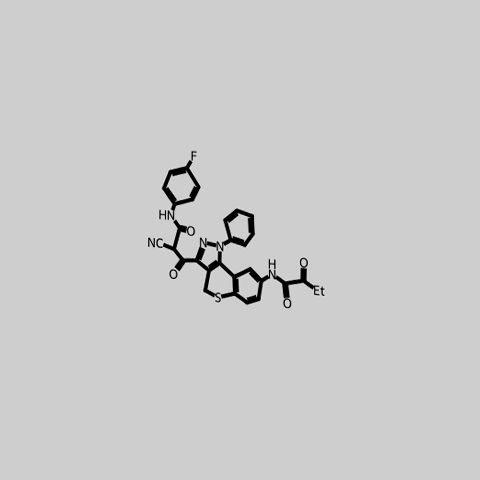 CCC(=O)C(=O)Nc1ccc2c(c1)-c1c(c(C(=O)C(C#N)C(=O)Nc3ccc(F)cc3)nn1-c1ccccc1)CS2